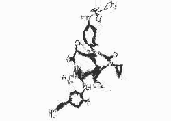 C#Cc1ccc(Nc2c3c(=O)n(C4CC4)c(=O)n(-c4ccc(NS(C)(=O)=O)cc4)c3c(C)c(=O)n2C)c(F)c1